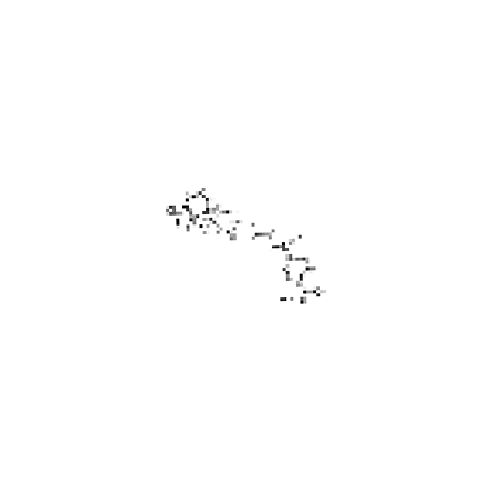 COC(=O)c1ccc(N(CCCCC2CCC(CN)(c3cccc(Cl)c3)CC2)C(C)=O)nc1